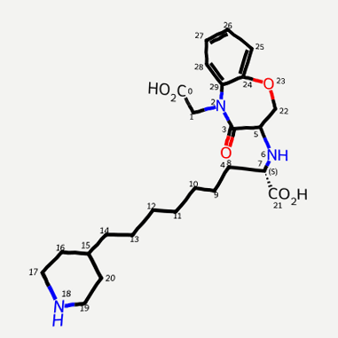 O=C(O)CN1C(=O)C(N[C@@H](CCCCCCCC2CCNCC2)C(=O)O)COc2ccccc21